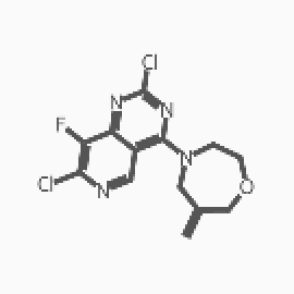 C=C1COCCN(c2nc(Cl)nc3c(F)c(Cl)ncc23)C1